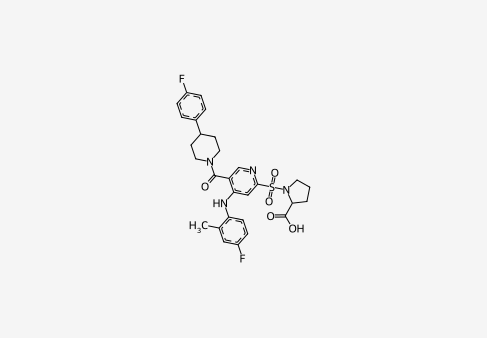 Cc1cc(F)ccc1Nc1cc(S(=O)(=O)N2CCCC2C(=O)O)ncc1C(=O)N1CCC(c2ccc(F)cc2)CC1